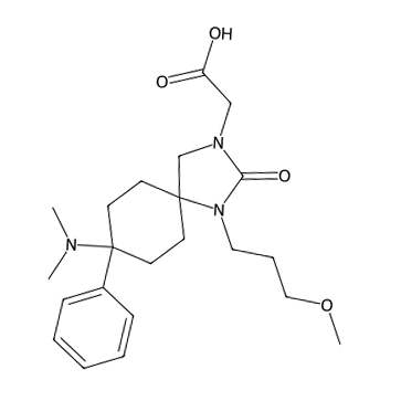 COCCCN1C(=O)N(CC(=O)O)CC12CCC(c1ccccc1)(N(C)C)CC2